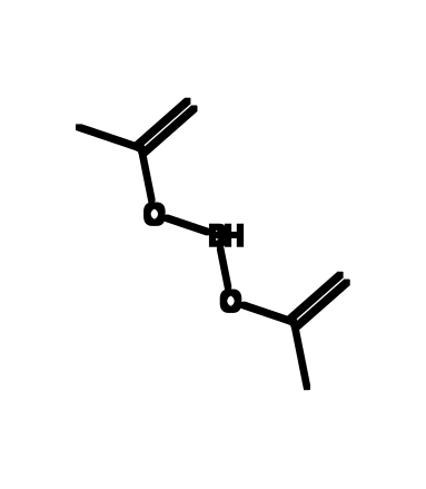 C=C(C)OBOC(=C)C